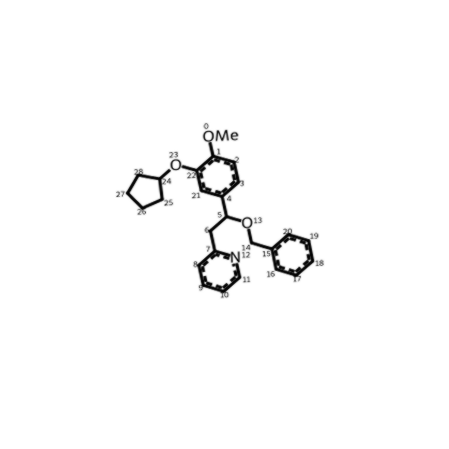 COc1ccc(C(Cc2ccccn2)OCc2ccccc2)cc1OC1CCCC1